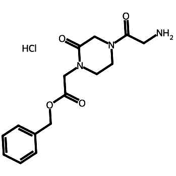 Cl.NCC(=O)N1CCN(CC(=O)OCc2ccccc2)C(=O)C1